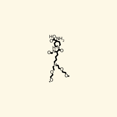 COCCOCCN(CCCCC(NC=O)C(=O)N1CCC(N)(C(=O)O)CC1)CCOCCOC